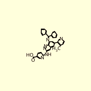 Cc1ccncc1-c1cc(N=C(c2ccccc2)c2ccccc2)c2nnc(Nc3ccc(C(=O)O)cn3)cc2c1